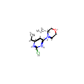 C[C@@H]1COCCN1c1cc(CC#N)nc(Cl)n1